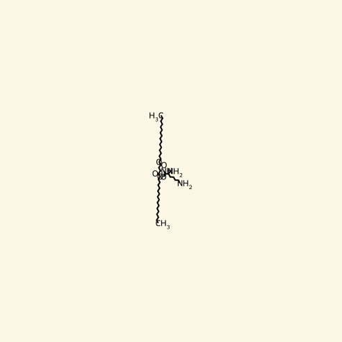 CCCCCCCCCCCCCCCCOC(=O)CC(NC(=O)C(N)CCCCN)C(=O)OCCCCCCCCCCCCCCCC